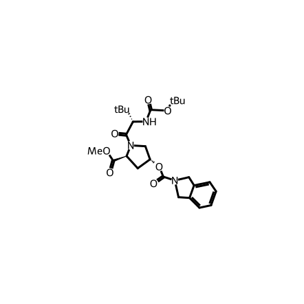 COC(=O)[C@@H]1C[C@@H](OC(=O)N2Cc3ccccc3C2)CN1C(=O)[C@@H](NC(=O)OC(C)(C)C)C(C)(C)C